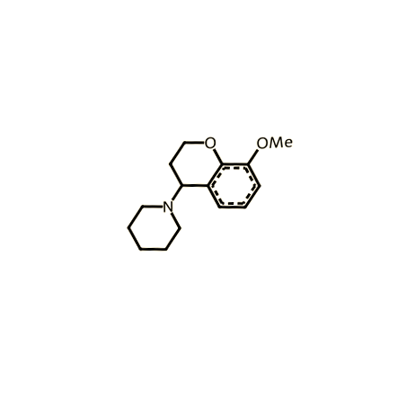 COc1cccc2c1OCCC2N1CCCCC1